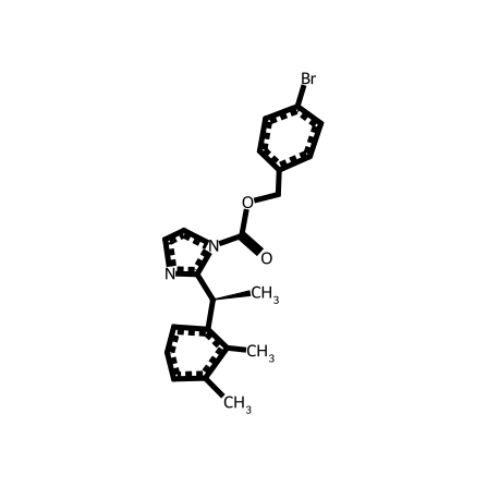 Cc1cccc([C@H](C)c2nccn2C(=O)OCc2ccc(Br)cc2)c1C